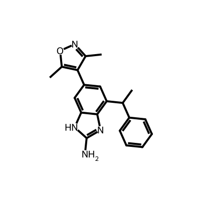 Cc1noc(C)c1-c1cc(C(C)c2ccccc2)c2nc(N)[nH]c2c1